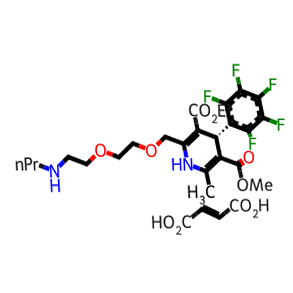 CCCNCCOCCOCC1=C(C(=O)OCC)[C@H](c2c(F)c(F)c(F)c(F)c2F)C(C(=O)OC)=C(C)N1.O=C(O)/C=C/C(=O)O